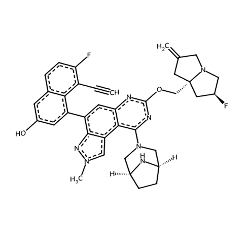 C#Cc1c(F)ccc2cc(O)cc(-c3cc4nc(OC[C@]56CC(=C)CN5C[C@@H](F)C6)nc(N5C[C@H]6CC[C@@H](C5)N6)c4c4cn(C)nc34)c12